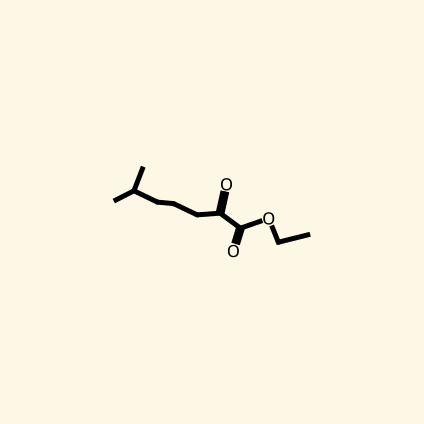 CCOC(=O)C(=O)CCCC(C)C